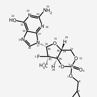 C[C@@]1(F)[C@@H]2OP(=O)(OCC3CC3)OC[C@H]2O[C@H]1n1cnc2c(O)nc(N)nc21